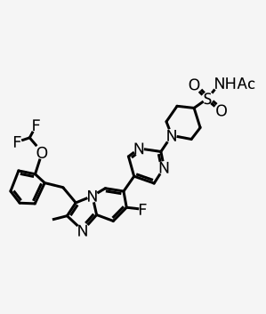 CC(=O)NS(=O)(=O)C1CCN(c2ncc(-c3cn4c(Cc5ccccc5OC(F)F)c(C)nc4cc3F)cn2)CC1